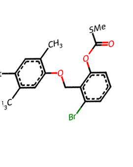 CCc1cc(C)c(OCc2c(Br)cccc2OC(=O)SC)cc1C